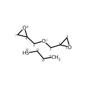 C(OCC1CO1)C1CO1.CCCS